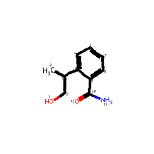 CC(CO)c1ccccc1C(N)=O